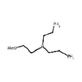 COCCN(CCP)CCP